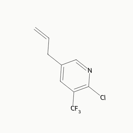 C=CCc1cnc(Cl)c(C(F)(F)F)c1